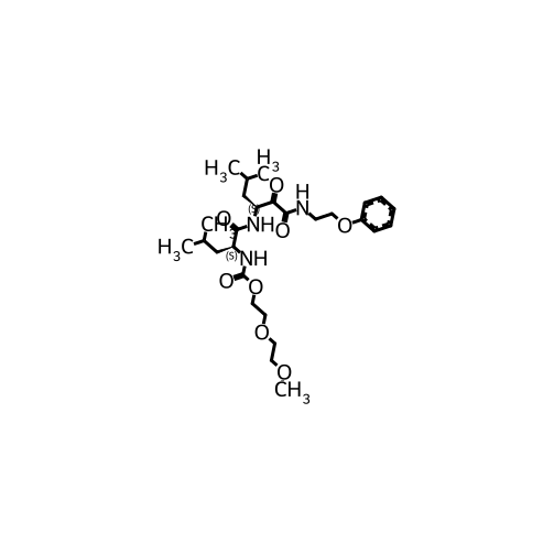 COCCOCCOC(=O)N[C@@H](CC(C)C)C(=O)N[C@@H](CC(C)C)C(=O)C(=O)NCCOc1ccccc1